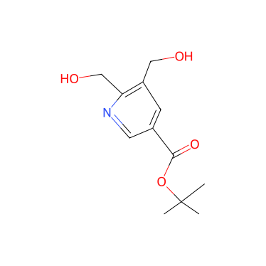 CC(C)(C)OC(=O)c1cnc(CO)c(CO)c1